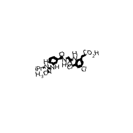 CN=C(Nc1cccc(C(=O)NCC(=O)Nc2c(Cl)cc(Cl)cc2CCC(=O)O)c1)NC(C)C